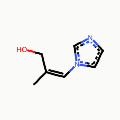 CC(=Cn1ccnc1)CO